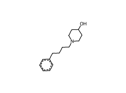 OC1CCN(CCCCc2ccccc2)CC1